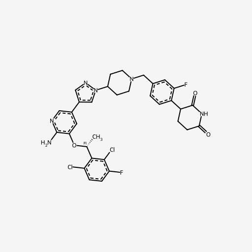 C[C@@H](Oc1cc(-c2cnn(C3CCN(Cc4ccc(C5CCC(=O)NC5=O)c(F)c4)CC3)c2)cnc1N)c1c(Cl)ccc(F)c1Cl